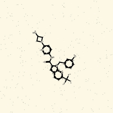 O=C(Nc1ccc(N2CC(O)C2)nc1)c1cc2ccc(C(F)(F)F)nc2n1Cc1cccc(Cl)c1